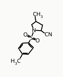 Cc1ccc(S(=O)(=O)N2CC(C)CC2C#N)cc1